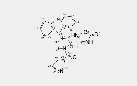 O=C1NC(C[C@H]2CN(C(c3ccccc3)c3ccccc3)CCN2C(=O)c2cccnc2)NO1